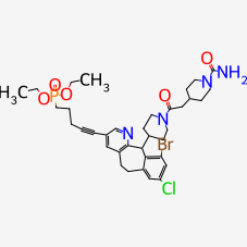 CCOP(=O)(CCCC#Cc1cnc2c(c1)CCc1cc(Cl)cc(Br)c1C2C1CCN(C(=O)CC2CCN(C(N)=O)CC2)CC1)OCC